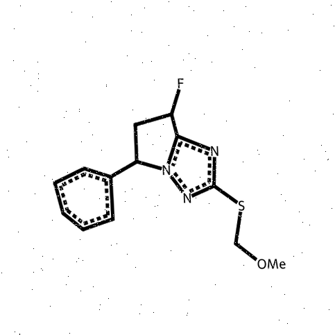 COCSc1nc2n(n1)C(c1ccccc1)CC2F